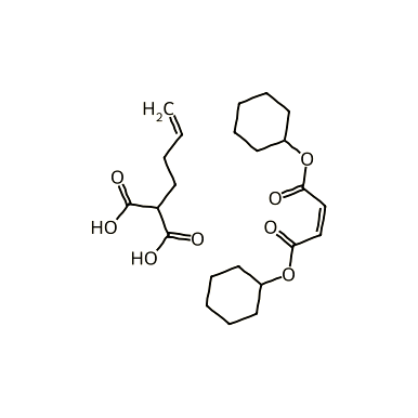 C=CCCC(C(=O)O)C(=O)O.O=C(/C=C\C(=O)OC1CCCCC1)OC1CCCCC1